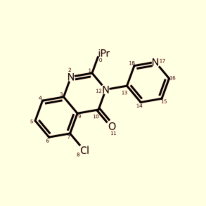 CC(C)c1nc2cccc(Cl)c2c(=O)n1-c1cccnc1